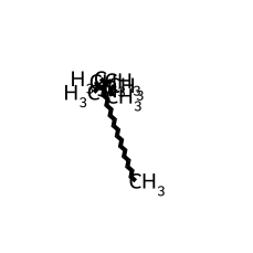 CCCCCCCCCCCCCCCCCC[Si](C(C)C)(C(C)C)N(C)C